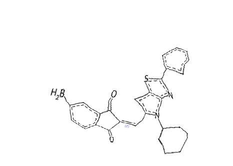 Bc1ccc2c(c1)C(=O)/C(=C\c1cc3sc(-c4ccccc4)nc3n1C1CCCCC1)C2=O